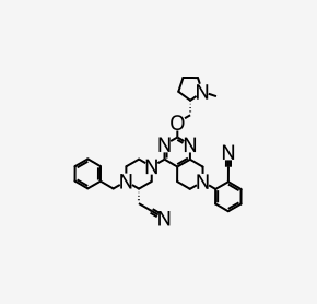 CN1CCC[C@H]1COc1nc2c(c(N3CCN(Cc4ccccc4)[C@@H](CC#N)C3)n1)CCN(c1ccccc1C#N)C2